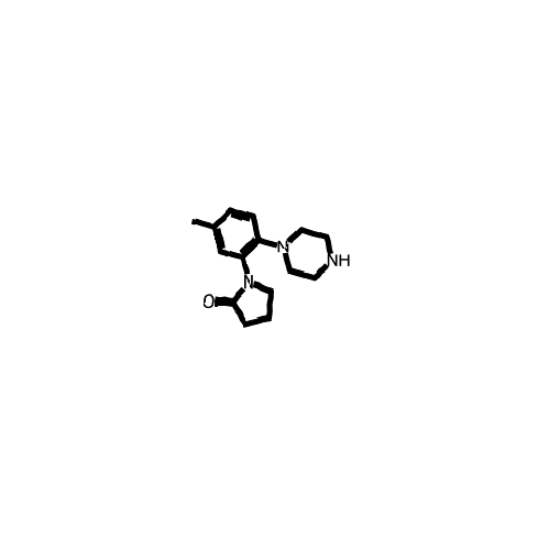 Cc1ccc(N2CCNCC2)c(N2CCCC2=O)c1